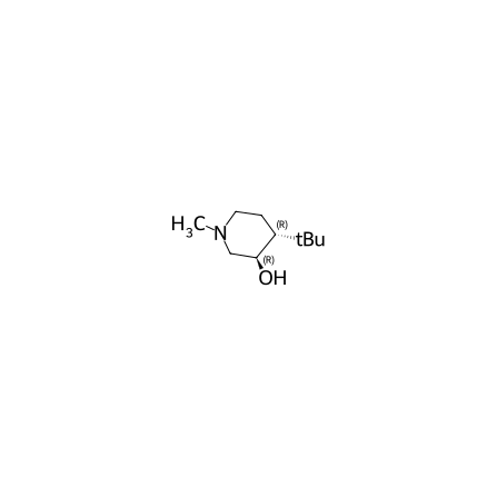 CN1CC[C@H](C(C)(C)C)[C@@H](O)C1